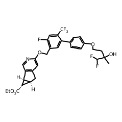 CCOC(=O)[C@H]1[C@@H]2Cc3cc(OCc4cc(-c5ccc(OCCC(C)(O)C(F)F)cc5)c(C(F)(F)F)cc4F)ncc3[C@@H]21